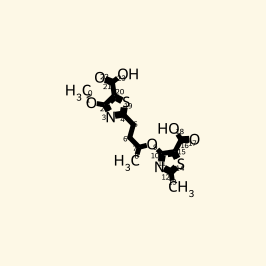 COc1nc(CCC(C)Oc2nc(C)sc2C(=O)O)sc1C(=O)O